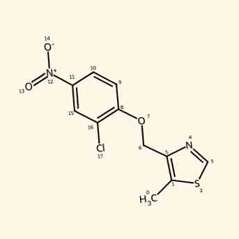 Cc1scnc1COc1ccc([N+](=O)[O-])cc1Cl